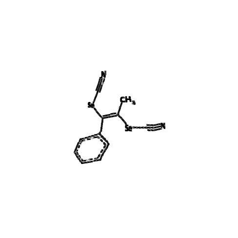 CC([Se]C#N)=C([Se]C#N)c1ccccc1